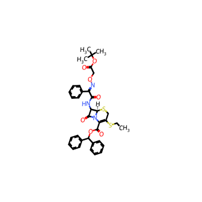 CCSC1=C(C(=O)OC(c2ccccc2)c2ccccc2)N2C(=O)C(NC(=O)/C(=N/OCC(=O)OC(C)(C)C)c3ccccc3)[C@H]2SC1